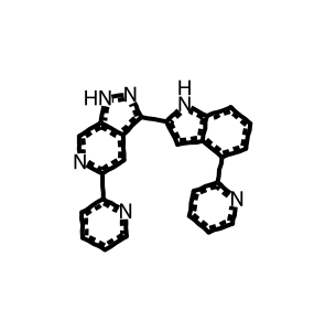 c1ccc(-c2cc3c(-c4cc5c(-c6ccccn6)cccc5[nH]4)n[nH]c3cn2)nc1